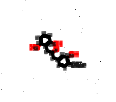 COc1ccc(CC(=O)Cc2c(O)cccc2O)cc1O